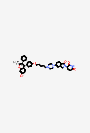 C[C@@H]1Oc2cc(O)ccc2[C@H](c2ccc(OCCCCCN3CCN(c4ccc5c(c4)CN(C4CCC(=O)NC4=O)C5=O)CC3)cc2)[C@@H]1c1ccccc1